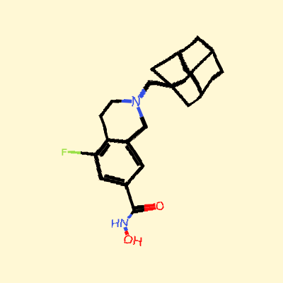 O=C(NO)c1cc(F)c2c(c1)CN(CC13CC4CC5CC(C1)C543)CC2